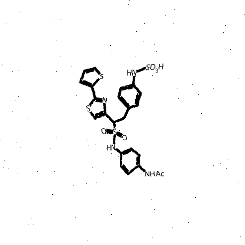 CC(=O)Nc1ccc(NS(=O)(=O)C(Cc2ccc(NS(=O)(=O)O)cc2)c2csc(-c3cccs3)n2)cc1